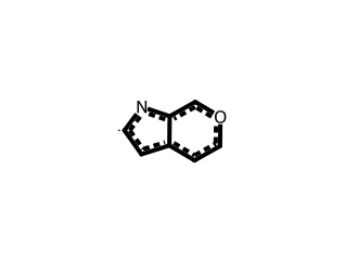 [c]1cc2ccocc-2n1